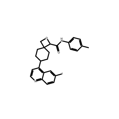 Cc1ccc(NC(=O)C2OCC23CCC(c2ccnc4ccc(F)cc24)CC3)cc1